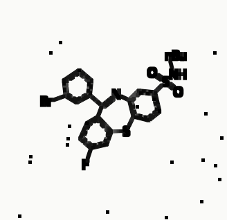 CCCCNS(=O)(=O)c1ccc2c(c1)N=C(c1cccc(Br)c1)c1ccc(F)cc1S2